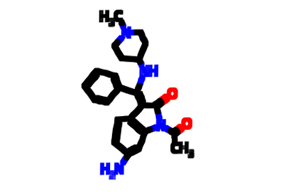 CC(=O)N1C(=O)/C(=C(\NC2CCN(C)CC2)c2ccccc2)c2ccc(N)cc21